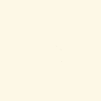 Sc1nnc(C2CCCO2)o1